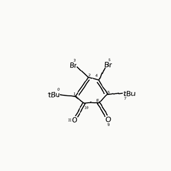 CC(C)(C)C1=C(Br)C(Br)=C(C(C)(C)C)C(=O)C1=O